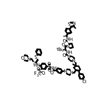 Cc1ncsc1-c1ccc([C@H](C)NC(=O)[C@@H]2CCCN2C(=O)[C@@H](NC(=O)N2CCN(CC3(C)CCC(c4ccc(Cl)cc4)=C(CN4CCN(c5ccc(C(=O)NS(=O)(=O)c6ccc(N[C@H](CCN7CCOCC7)CSc7ccccc7)c(S(=O)(=O)C(F)(F)F)c6)cc5)CC4)C3)CC2)C(C)(C)C)cc1